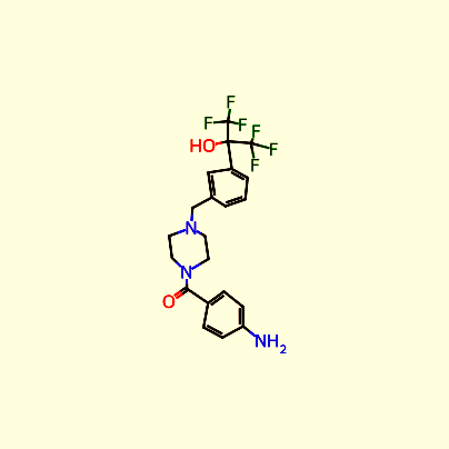 Nc1ccc(C(=O)N2CCN(Cc3cccc(C(O)(C(F)(F)F)C(F)(F)F)c3)CC2)cc1